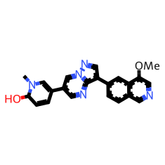 COc1cncc2ccc(-c3cnn4cc(C5=CN(C)C(O)C=C5)cnc34)cc12